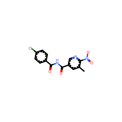 Cc1cc(C(=O)NC(=O)c2ccc(Cl)cc2)cnc1[N+](=O)[O-]